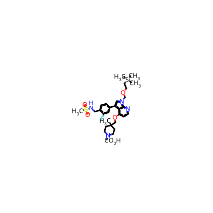 CC1(COc2ccnc3c2c(-c2ccc(CNS(C)(=O)=O)c(F)c2)cn3COCC[Si](C)(C)C)CCN(C(=O)O)CC1